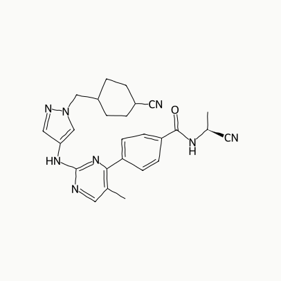 Cc1cnc(Nc2cnn(CC3CCC(C#N)CC3)c2)nc1-c1ccc(C(=O)N[C@@H](C)C#N)cc1